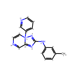 Cc1cccc(NC2=N[N+]3(c4cccnc4)C=CN=CC3=N2)c1